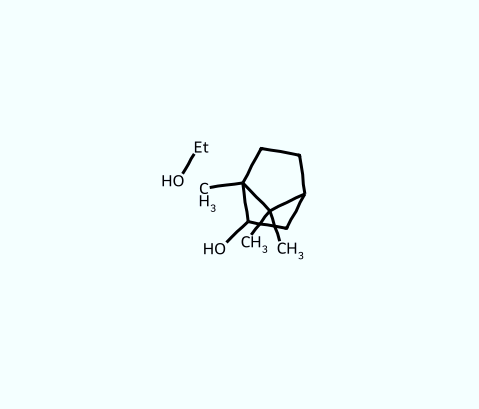 CC1(C)C2CCC1(C)C(O)C2.CCO